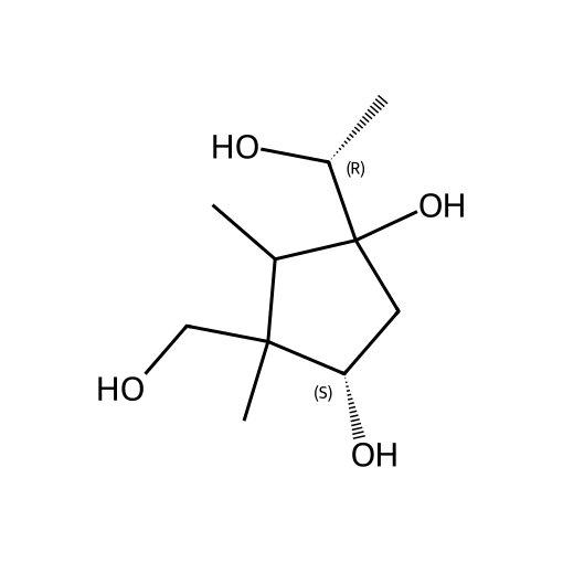 CC1C(C)(CO)[C@@H](O)CC1(O)[C@@H](C)O